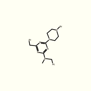 CC(=O)CN(C)c1nc(CC(C)C)nc(N2CCN(C(C)C)CC2)n1